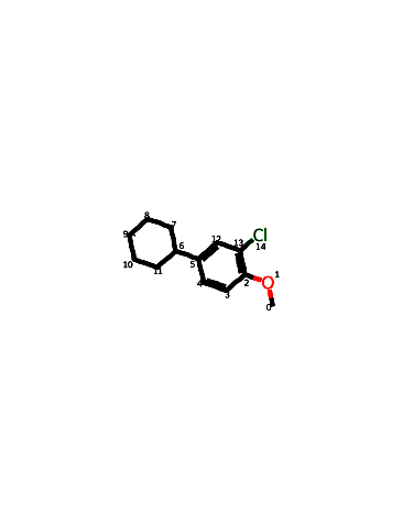 COc1ccc(C2CC[CH]CC2)cc1Cl